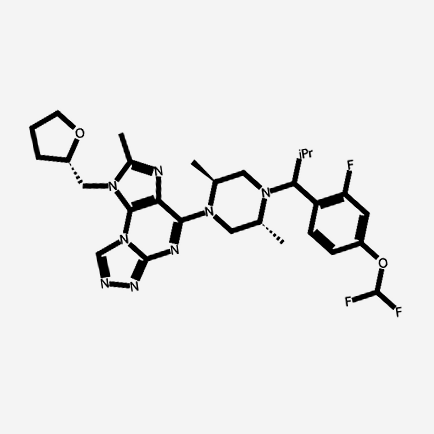 Cc1nc2c(N3C[C@@H](C)N(C(c4ccc(OC(F)F)cc4F)C(C)C)C[C@@H]3C)nc3nncn3c2n1C[C@@H]1CCCO1